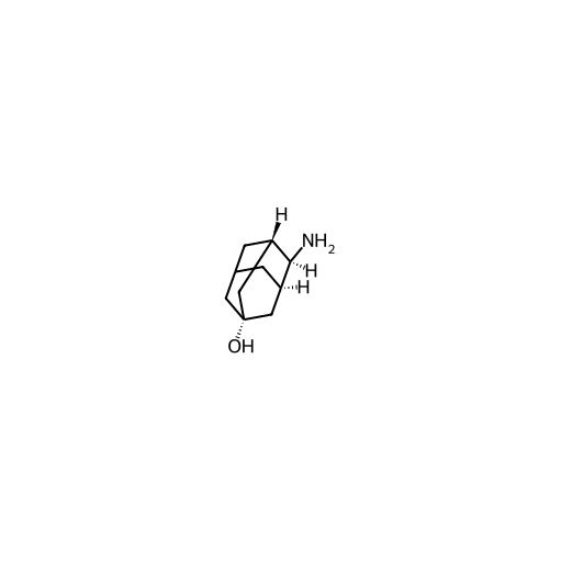 N[C@H]1[C@@H]2CC3C[C@H]1C[C@](O)(C3)C2